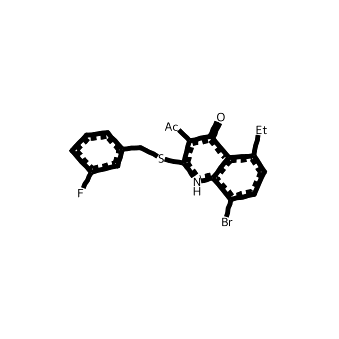 CCc1ccc(Br)c2[nH]c(SCc3cccc(F)c3)c(C(C)=O)c(=O)c12